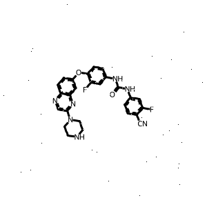 N#Cc1ccc(NC(=O)Nc2ccc(Oc3ccc4ncc(N5CCNCC5)nc4c3)c(F)c2)cc1F